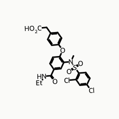 CCNC(=O)c1ccc(Oc2ccc(CC(=O)O)cc2)c(N(C)S(=O)(=O)c2ccc(Cl)cc2Cl)c1